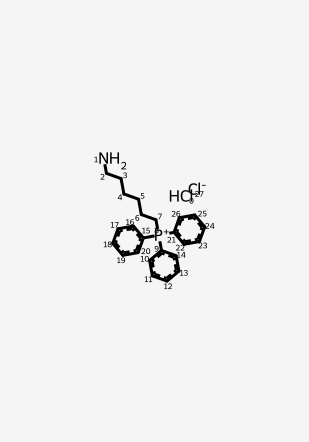 Cl.NCCCCCC[P+](c1ccccc1)(c1ccccc1)c1ccccc1.[Cl-]